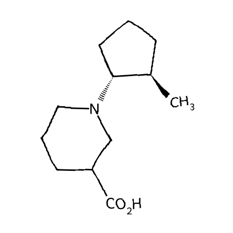 C[C@@H]1CCC[C@H]1N1CCCC(C(=O)O)C1